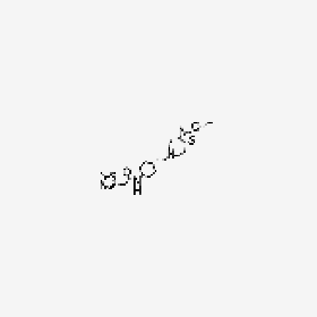 CCCOc1nc2c(s1)CCN(CC[C@H]1CC[C@H](NC(=O)Cc3cnc(C)s3)CC1)CC2